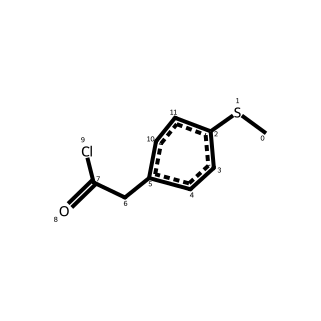 CSc1ccc(CC(=O)Cl)cc1